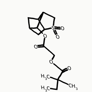 CCC(C)(C)C(=O)OCC(=O)OC1C2CC3C1CS(=O)(=O)C3C2